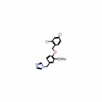 COc1cc(Cn2ccnc2)ccc1OCc1ccc(Cl)cc1Cl